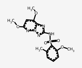 COc1cc(OC)c2nc(NS(=O)(=O)c3c(C)cccc3OC)nn2n1